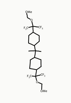 COCOC(C1CCC(C(C)(C)C2CCC(C(OCOC)(C(F)(F)F)C(F)(F)F)CC2)CC1)(C(F)(F)F)C(F)(F)F